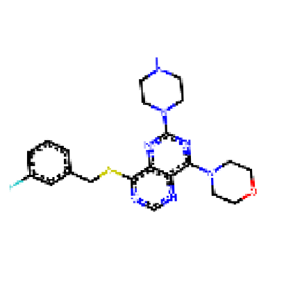 Fc1cccc(CSc2ncnc3c(N4CCOCC4)nc(N4CCNCC4)nc23)c1